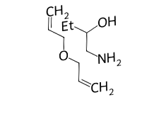 C=CCOCC=C.CCC(O)CN